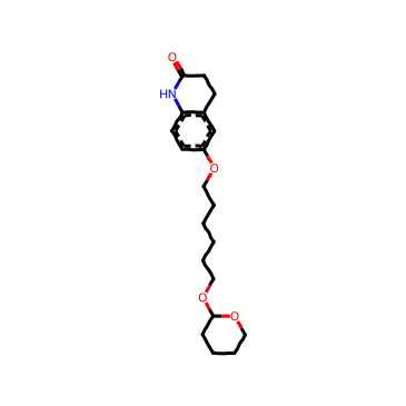 O=C1CCc2cc(OCCCCCCOC3CCCCO3)ccc2N1